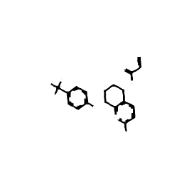 C=CC(=O)N[C@H]1CC[C@@H](Oc2ccc(C(F)(F)F)cc2)c2nc(Cl)ccc21